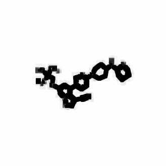 CC(C)(O)COc1cc(-c2ccc(N3CCC(Nc4ccccn4)CC3)nc2)c2c(C#N)cnn2c1